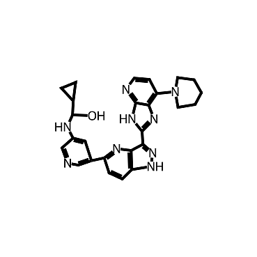 OC(Nc1cncc(-c2ccc3[nH]nc(-c4nc5c(N6CCCCC6)ccnc5[nH]4)c3n2)c1)C1CC1